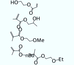 C=C(C)C(=O)OCC(C)O.C=C(C)C(=O)OCCCC.C=C(C)C(=O)OCCOC.C=C(C)C(=O)OCCOCC.C=CC(=O)OCCO